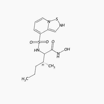 CCC[C@@H](C)C(NS(=O)(=O)C1=CC=CN2SNC=C12)C(=O)NO